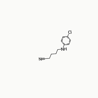 N#CCCCCNc1ccc(Cl)cc1